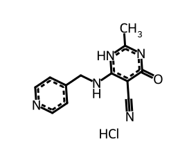 Cc1nc(=O)c(C#N)c(NCc2ccncc2)[nH]1.Cl